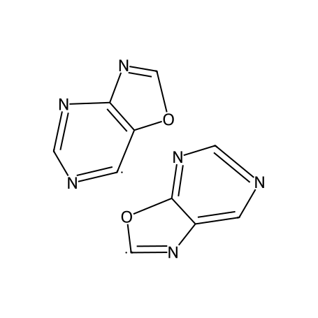 [c]1nc2cncnc2o1.[c]1ncnc2ncoc12